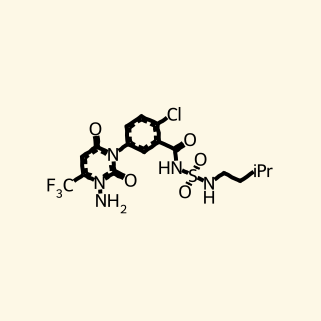 CC(C)CCNS(=O)(=O)NC(=O)c1cc(-n2c(=O)cc(C(F)(F)F)n(N)c2=O)ccc1Cl